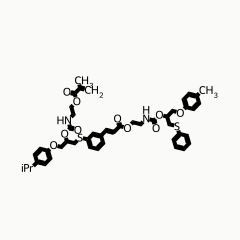 C=C(C)C(=O)OCCNC(=O)OC(COc1ccc(C(C)C)cc1)CSc1cccc(/C=C/C(=O)OCCNC(=O)OC(COc2ccc(C)cc2)CSc2ccccc2)c1